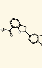 NC(=O)c1cccc2c1OC(c1ccc(F)c(F)c1)C2